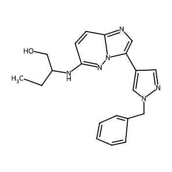 CCC(CO)Nc1ccc2ncc(-c3cnn(Cc4ccccc4)c3)n2n1